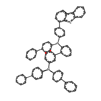 c1ccc(-c2ccc(N(c3ccc(-c4ccccc4)cc3)c3cccc(-c4ccccc4N(c4ccc(-c5ccccc5)cc4)c4ccc(-c5cccc6c5sc5ccccc56)cc4)c3)cc2)cc1